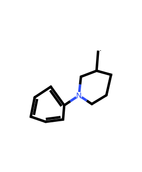 [CH2]C1CCCN(c2ccccc2)C1